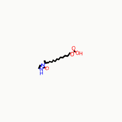 CC(=CCCCCCCCCCCCOC(=O)O)n1cc[nH]c1=O